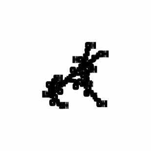 CCC(COC(=O)CCS)(COC(=O)CCS)COC(=O)CCNCCN(CCC(=O)OCC(CC)(COC(=O)CCS)COC(=O)CCSCCO)CCC(=O)OCC(CC)(COC(=O)CCSCCO)CO[C@H](O)CCSCCO